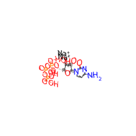 Nc1ccn([C@@H]2O[C@H](COP(=O)([O-])OP(=O)(O)OP(=O)([O-])O)[C@@H](O)[C@H]2O)c(=O)n1.[Na+].[Na+]